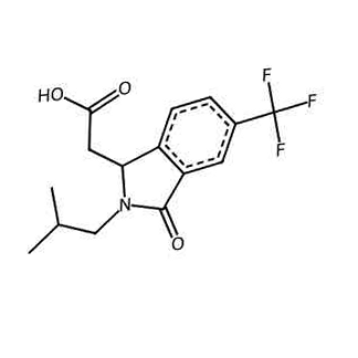 CC(C)CN1C(=O)c2cc(C(F)(F)F)ccc2C1CC(=O)O